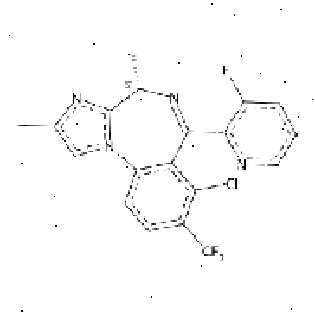 Cc1cn2c(n1)[C@H](C)N=C(c1ncccc1F)c1c-2ccc(C(F)(F)F)c1Cl